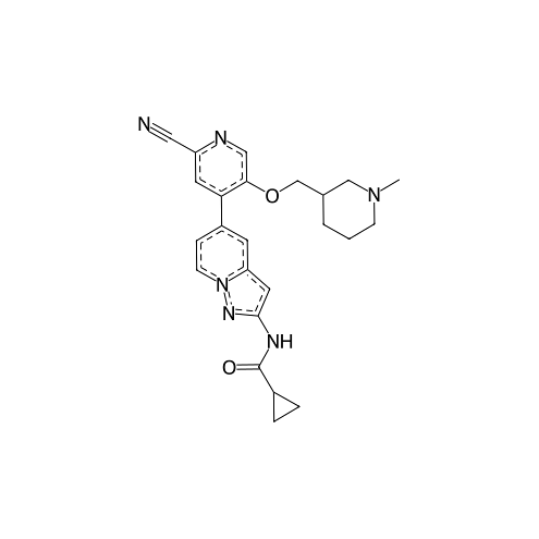 CN1CCCC(COc2cnc(C#N)cc2-c2ccn3nc(NC(=O)C4CC4)cc3c2)C1